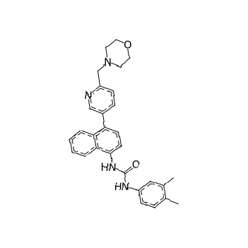 Cc1ccc(NC(=O)Nc2ccc(-c3ccc(CN4CCOCC4)nc3)c3ccccc23)cc1C